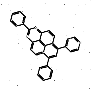 c1ccc(-c2nc3ccc4c(-c5ccccc5)cc(-c5ccncc5)c5ccc(n2)c3c45)cc1